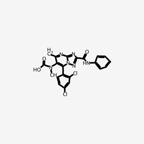 Cc1nc2nc(C(=O)Nc3ccccc3)nn2c(-c2ccc(Cl)cc2Cl)c1N(C)C(=O)O